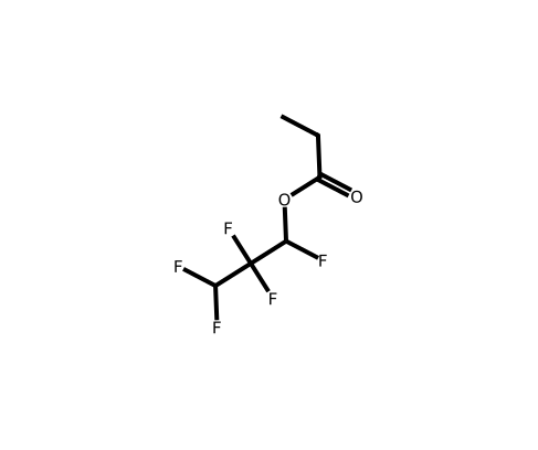 CCC(=O)OC(F)C(F)(F)C(F)F